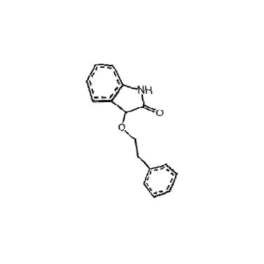 O=C1Nc2ccccc2C1OCCc1ccccc1